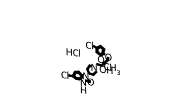 CC1(C(O)CN2CCC(n3c(=O)[nH]c4cc(Cl)ccc43)CC2)COc2ccc(Cl)cc2O1.Cl